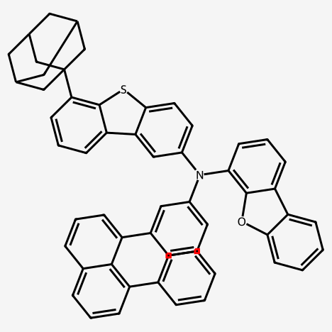 c1ccc(-c2cccc3cccc(-c4cccc(N(c5ccc6sc7c(C89CC%10CC(CC(C%10)C8)C9)cccc7c6c5)c5cccc6c5oc5ccccc56)c4)c23)cc1